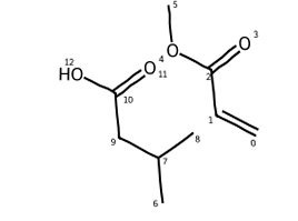 C=CC(=O)OC.CC(C)CC(=O)O